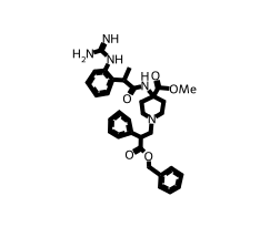 COC(=O)C1(NC(=O)C(C)c2ccccc2NC(=N)N)CCN(CC(C(=O)OCc2ccccc2)c2ccccc2)CC1